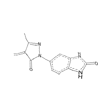 C=C1C(=O)N(c2ccc3[nH]c(=O)[nH]c3c2)N=C1C